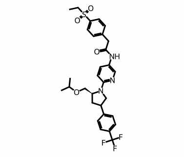 CCS(=O)(=O)c1ccc(CC(=O)Nc2ccc(N3CC(c4ccc(C(F)(F)F)cc4)C[C@H]3COC(C)C)nc2)cc1